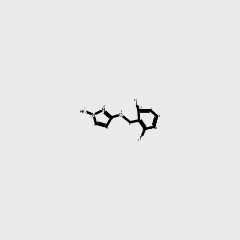 On1ccc(OCc2c(F)cccc2I)n1